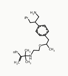 C=C(CCC)C(C)(C)NCCOC(C)Cc1ccc(C(CN)CC(C)C)cc1